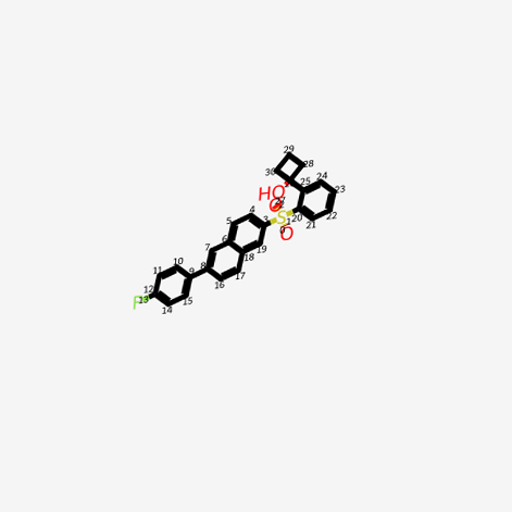 O=S(=O)(c1ccc2cc(-c3ccc(F)cc3)ccc2c1)c1ccccc1C1(O)CCC1